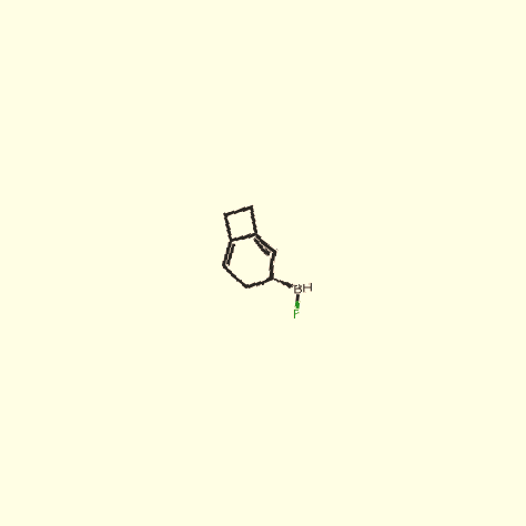 FB[C@@H]1C=C2CCC2=CC1